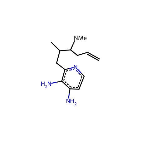 C=CCC(NC)C(C)Cc1nccc(N)c1N